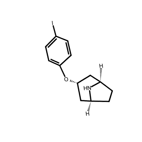 Ic1ccc(O[C@@H]2C[C@H]3CC[C@@H](C2)N3)cc1